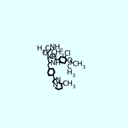 Cc1cccn2cc(-c3ccc(CC(CNC(=O)C(C)(C)N)NC(=O)c4ccc(OC(C)C)c(Cl)c4)cc3)nc12